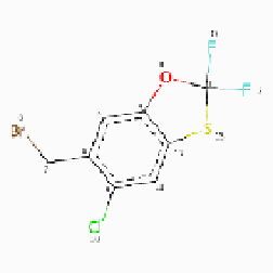 FC1(F)Oc2cc(CBr)c(Cl)cc2S1